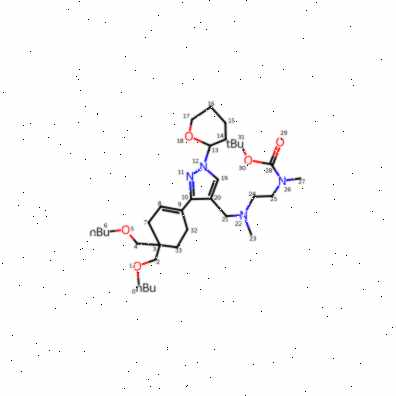 CCCCOCC1(COCCCC)CC=C(c2nn(C3CCCCO3)cc2CN(C)CCN(C)C(=O)OC(C)(C)C)CC1